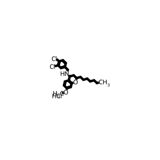 CCCCCCCC1CC(NCc2ccc(Cl)c(Cl)c2)c2ccc(OC)cc2O1.Cl